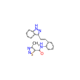 Cc1nnsc1C(=O)Nc1ccccc1C=Cc1n[nH]c2ccccc12